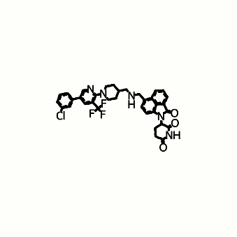 O=C1CCC(N2C(=O)c3cccc4c(CNCC5CCN(c6ncc(-c7cccc(Cl)c7)cc6C(F)(F)F)CC5)ccc2c34)C(=O)N1